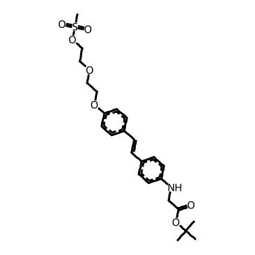 CC(C)(C)OC(=O)CNc1ccc(C=Cc2ccc(OCCOCCOS(C)(=O)=O)cc2)cc1